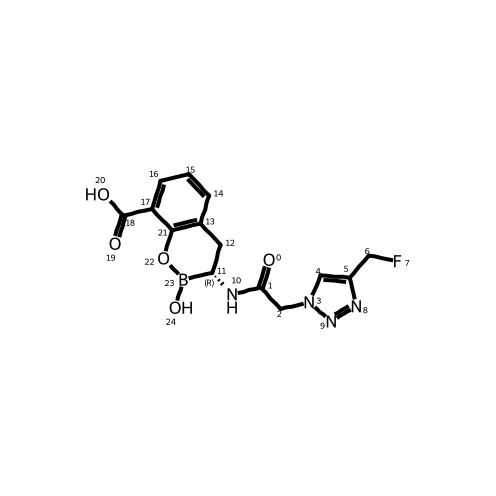 O=C(Cn1cc(CF)nn1)N[C@H]1Cc2cccc(C(=O)O)c2OB1O